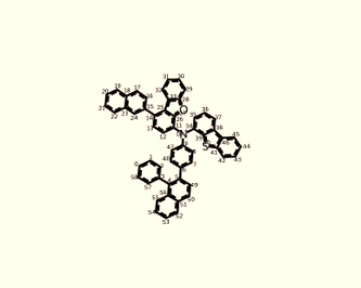 c1ccc(-c2c(-c3ccc(N(c4ccc(-c5ccc6ccccc6c5)c5c4oc4ccccc45)c4cccc5c4sc4ccccc45)cc3)ccc3ccccc23)cc1